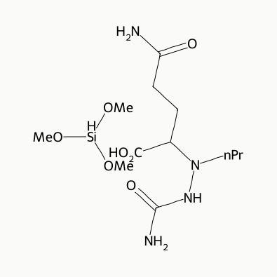 CCCN(NC(N)=O)C(CCC(N)=O)C(=O)O.CO[SiH](OC)OC